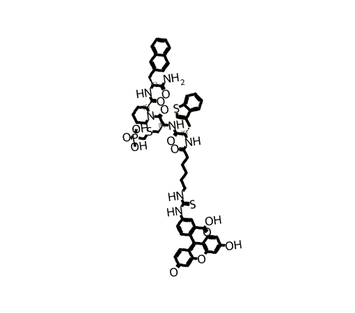 NC(=O)[C@H](Cc1ccc2ccccc2c1)NC(=O)[C@@H]1CCCCN1C(=O)[C@H](CSCP(=O)(O)O)NC(=O)[C@H](Cc1csc2ccccc12)NC(=O)CCCCCNC(=S)Nc1ccc(-c2c3ccc(=O)cc-3oc3cc(O)ccc23)c(C(=O)O)c1